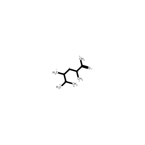 CC(=O)C(C)CC(C)C(C)C